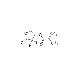 C=C(C)C(=O)OC1COC(=O)C1(F)F